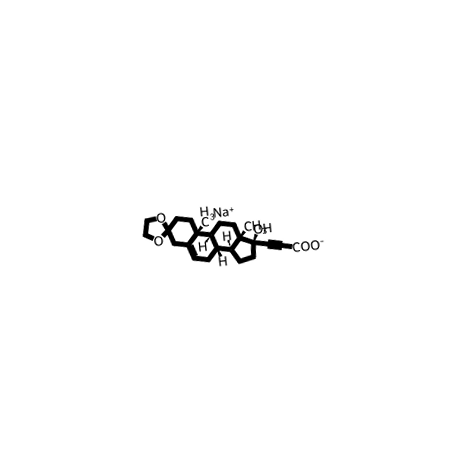 C[C@]12CCC3(CC1=CC[C@@H]1[C@@H]2CC[C@@]2(C)[C@H]1CC[C@@]2(O)C#CC(=O)[O-])OCCO3.[Na+]